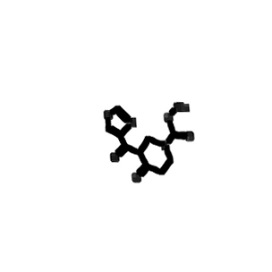 CC(C)(C)OC(=O)N1CCC(=O)C(C(=O)c2cocn2)C1